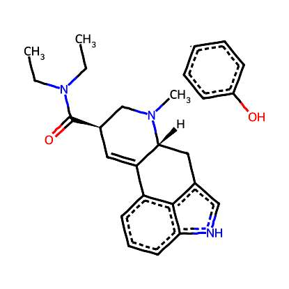 CCN(CC)C(=O)[C@@H]1C=C2c3cccc4[nH]cc(c34)C[C@H]2N(C)C1.Oc1cc[c]cc1